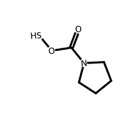 O=C(OS)N1CCCC1